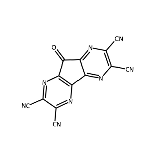 N#Cc1nc2c(nc1C#N)-c1nc(C#N)c(C#N)nc1C2=O